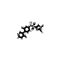 Cc1cc(NS(=O)(=O)c2cn(C)c(C)n2)ccc1-c1cnccc1C